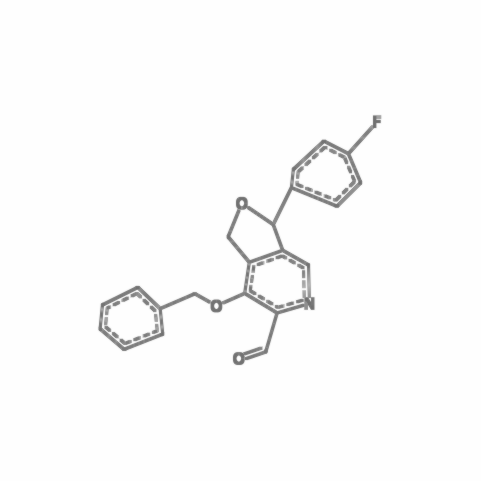 O=Cc1ncc2c(c1OCc1ccccc1)COC2c1ccc(F)cc1